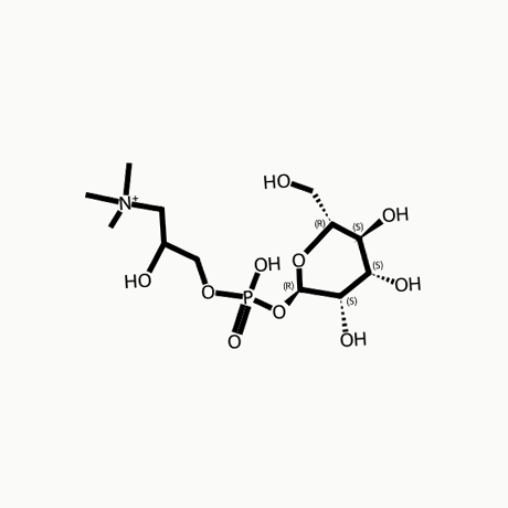 C[N+](C)(C)CC(O)COP(=O)(O)O[C@H]1O[C@H](CO)[C@@H](O)[C@H](O)[C@@H]1O